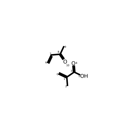 C=C(C)C(=O)O.C=CC(C)=O